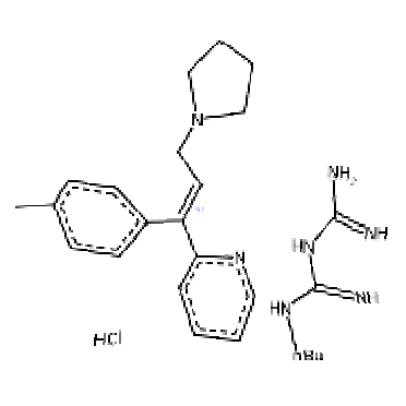 CCCCNC(=N)NC(=N)N.Cc1ccc(/C(=C\CN2CCCC2)c2ccccn2)cc1.Cl